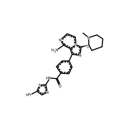 CCCc1cnc(NC(=O)c2ccc(-c3nc([C@@H]4CCCCN4C)n4ccnc(N)c34)cc2)s1